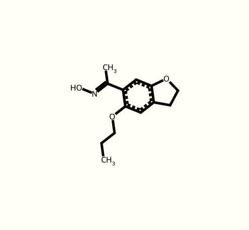 CCCOc1cc2c(cc1C(C)=NO)OCC2